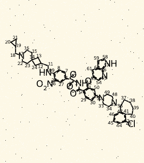 O=C(NS(=O)(=O)c1ccc(NCC2CC3(CCN(CC4CC4)CC3)C2)c([N+](=O)[O-])c1)c1ccc(N2CCN([C@@H]3CCCCc4c(Cl)cccc43)CC2)cc1Oc1cnc2[nH]ccc2c1